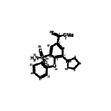 COC(=S)c1cc(N2CCCC2)c(Oc2ccccc2)c(S(N)(=O)=O)c1